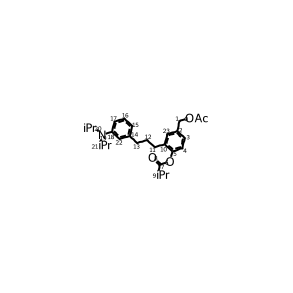 CC(=O)OCc1ccc(OC(=O)C(C)C)c(CCCc2cccc(N(C(C)C)C(C)C)c2)c1